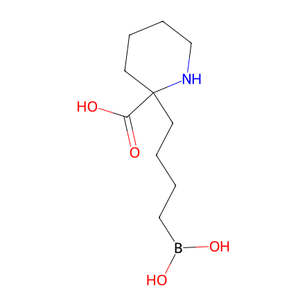 O=C(O)C1(CCCCB(O)O)CCCCN1